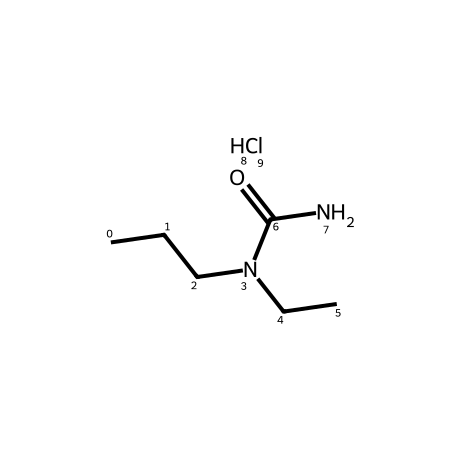 CCCN(CC)C(N)=O.Cl